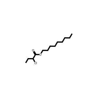 CCCCCCCCCOC(=O)C(Cl)CC